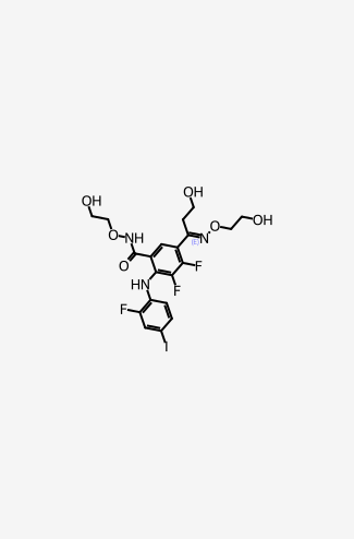 O=C(NOCCO)c1cc(/C(CCO)=N/OCCO)c(F)c(F)c1Nc1ccc(I)cc1F